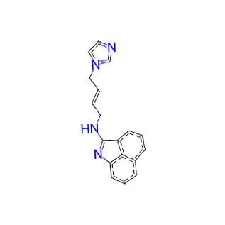 C(=CCn1ccnc1)CNC1=Nc2cccc3cccc1c23